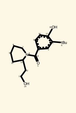 CC(C)(C)c1cc(C(=O)N2CCCCC2CCO)ccc1O